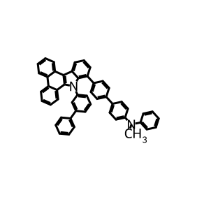 CN(c1ccccc1)c1ccc(-c2ccc(-c3cccc4c5c6ccccc6c6ccccc6c5n(-c5cccc(-c6ccccc6)c5)c34)cc2)cc1